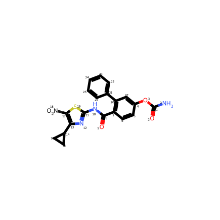 NC(=O)Oc1ccc(C(=O)Nc2nc(C3CC3)c([N+](=O)[O-])s2)c(-c2ccccc2)c1